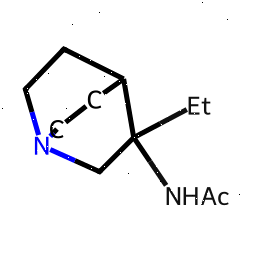 CCC1(NC(C)=O)CN2CCC1CC2